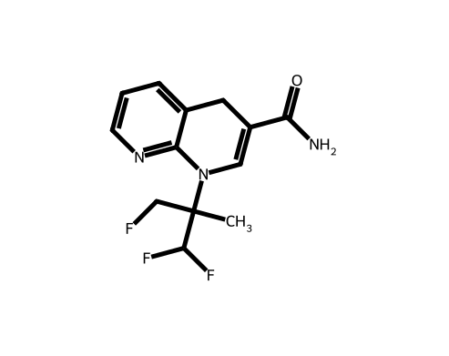 CC(CF)(C(F)F)N1C=C(C(N)=O)Cc2cccnc21